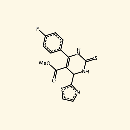 COC(=O)C1=C(c2ccc(F)cc2)NC(=S)NC1c1nccs1